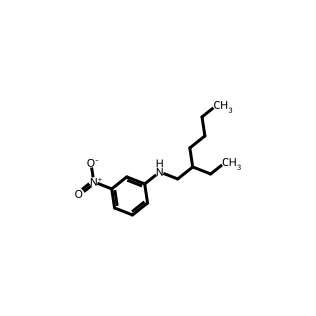 CCCCC(CC)CNc1cccc([N+](=O)[O-])c1